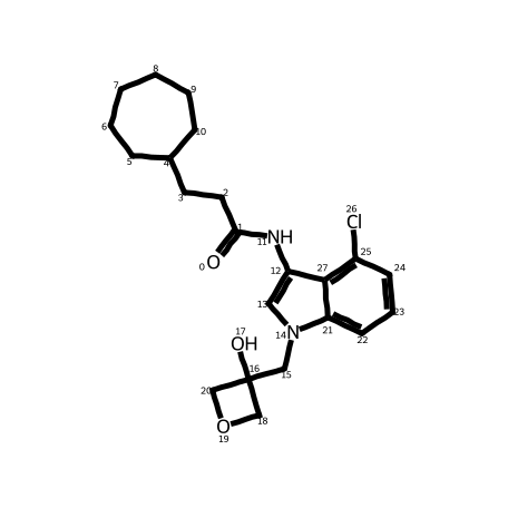 O=C(CCC1CCCCCC1)Nc1cn(CC2(O)COC2)c2cccc(Cl)c12